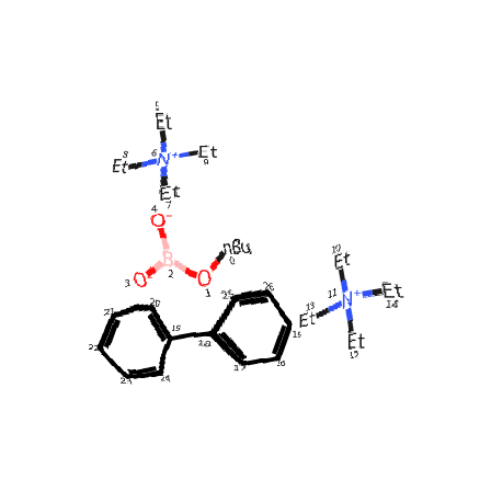 CCCCOB([O-])[O-].CC[N+](CC)(CC)CC.CC[N+](CC)(CC)CC.c1ccc(-c2ccccc2)cc1